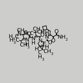 CC(C)[C@H](NC(=O)N[C@H](C(=O)N1C[C@H]2[C@@H]([C@H]1C(=O)N[C@@H](CC1CCC1)C(=O)C(N)=O)C2(C)C)C(C)(C)C)C(=O)N(C)C